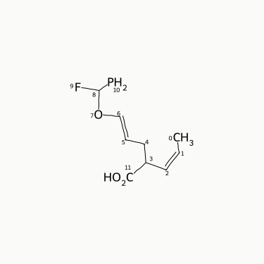 C/C=C\C(C/C=C/OC(F)P)C(=O)O